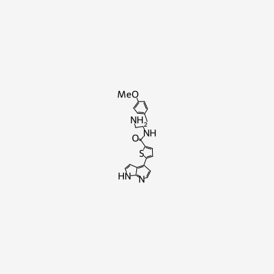 COc1ccc(C[C@@H](CN)NC(=O)c2ccc(-c3ccnc4[nH]ccc34)s2)cc1